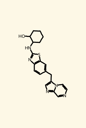 OC1CCCCC1Nc1nc2ccc(Cc3cnc4cnccn34)cc2s1